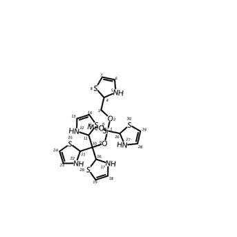 CO[Si](OCC1NC=CS1)(OC(C1NC=CS1)(C1NC=CS1)C1NC=CS1)C1NC=CS1